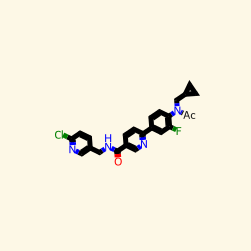 CC(=O)N(CC1CC1)c1ccc(-c2ccc(C(=O)NCc3ccc(Cl)nc3)cn2)cc1F